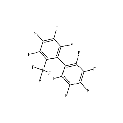 Fc1c(F)c(F)c(-c2c(F)c(F)c(F)c(F)c2[B-](F)(F)F)c(F)c1F